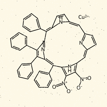 O=[N+]([O-])c1c([N+](=O)[O-])c2[nH]c1cc1nc(cc3ccc([nH]3)c(-c3ccccc3)c3nc(c2-c2ccccc2)C(c2ccccc2)=C3c2ccccc2)C=C1.[Cu+2]